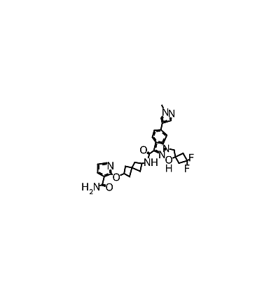 Cn1cc(-c2ccc3c(C(=O)NC4CC5(C4)CC(Oc4ncccc4C(N)=O)C5)nn(CC4(O)CC(F)(F)C4)c3c2)cn1